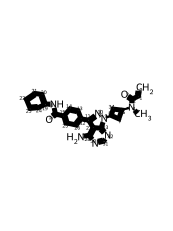 C=CC(=O)N(C)[C@H]1C[C@@H](n2nc(-c3ccc(C(=O)Nc4ccccc4)cc3)c3c(N)ncnc32)C1